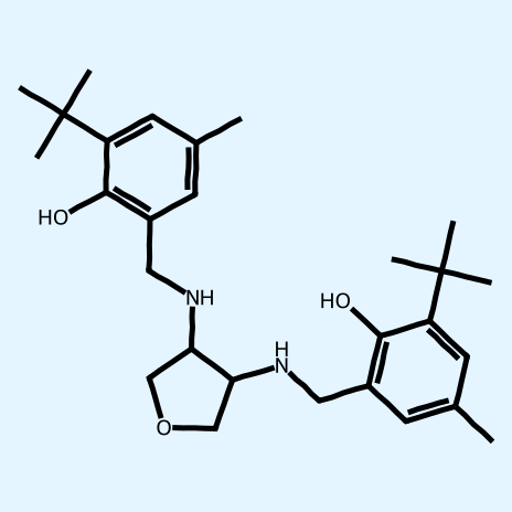 Cc1cc(CNC2COCC2NCc2cc(C)cc(C(C)(C)C)c2O)c(O)c(C(C)(C)C)c1